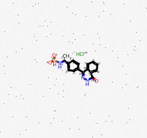 C[C@@H](N[SH](=O)=O)c1ccc(-c2n[nH]c(=O)c3ccccc23)cc1.Cl